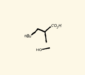 CCCCCC(C)C(=O)O.CO